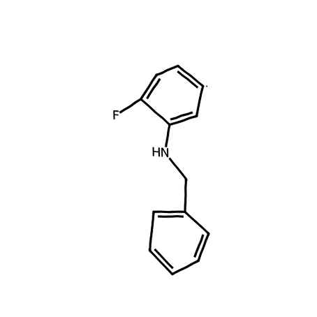 Fc1cc[c]cc1NCc1ccccc1